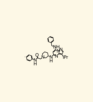 CC(C)c1cnn2c(NCc3ccccc3)cc(N[C@@H]3CCCN(CC(=O)Nc4cc[c]cc4)C3)nc12